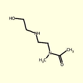 CC(=O)N(C)CCNCCO